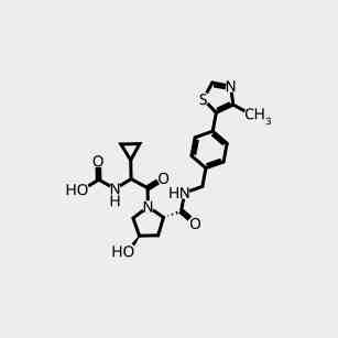 Cc1ncsc1-c1ccc(CNC(=O)[C@@H]2C[C@@H](O)CN2C(=O)C(NC(=O)O)C2CC2)cc1